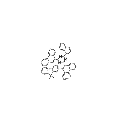 CC1(C)c2ccccc2-c2ccc(-c3c(-c4nc(-c5cccc6ccccc56)nc(-c5cc6ccccc6c6ccccc56)n4)c4ccccc4c4ccccc34)cc21